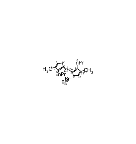 CCCC1=[C]([Zr+2][C]2=C(CCC)C(C)=CC2)CC=C1C.[Br-].[Br-]